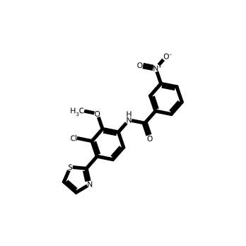 COc1c(NC(=O)c2cccc([N+](=O)[O-])c2)ccc(-c2nccs2)c1Cl